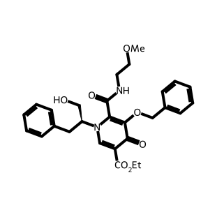 CCOC(=O)c1cn([C@H](CO)Cc2ccccc2)c(C(=O)NCCOC)c(OCc2ccccc2)c1=O